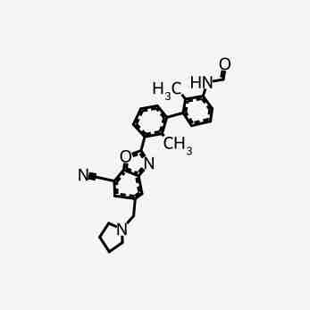 Cc1c(NC=O)cccc1-c1cccc(-c2nc3cc(CN4CCCC4)cc(C#N)c3o2)c1C